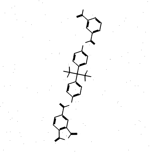 O=C(O)c1cccc(C(=O)Oc2ccc(C(c3ccc(OC(=O)c4ccc5c(c4)C(=O)OC5=O)cc3)(C(F)(F)F)C(F)(F)F)cc2)c1